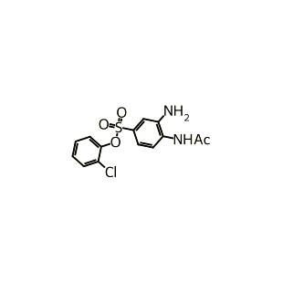 CC(=O)Nc1ccc(S(=O)(=O)Oc2ccccc2Cl)cc1N